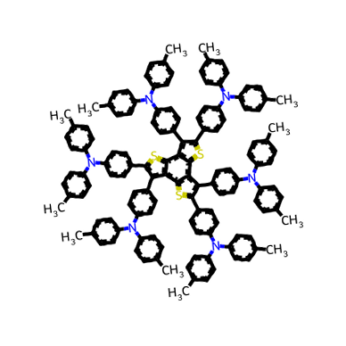 Cc1ccc(N(c2ccc(C)cc2)c2ccc(-c3sc4c(c3-c3ccc(N(c5ccc(C)cc5)c5ccc(C)cc5)cc3)c3sc(-c5ccc(N(c6ccc(C)cc6)c6ccc(C)cc6)cc5)c(-c5ccc(N(c6ccc(C)cc6)c6ccc(C)cc6)cc5)c3c3sc(-c5ccc(N(c6ccc(C)cc6)c6ccc(C)cc6)cc5)c(-c5ccc(N(c6ccc(C)cc6)c6ccc(C)cc6)cc5)c43)cc2)cc1